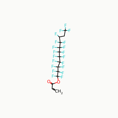 C=CC(=O)OC(F)(F)C(F)(F)C(F)(F)C(F)(F)C(F)(F)C(F)(F)C(F)(F)C(F)(F)C(F)CC(F)(F)F